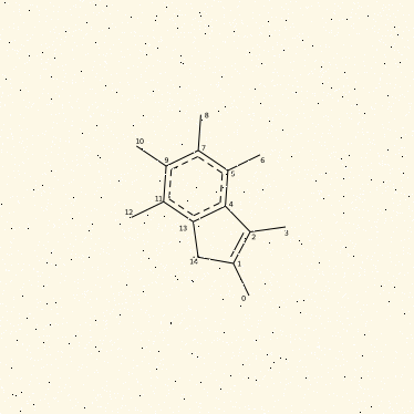 CC1=C(C)c2c(C)c(C)c(C)c(C)c2[CH]1